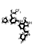 CN(Cc1nc(Nc2ccc(-c3cnc4cc(F)ccn34)c3c2C(=O)NC3)ccc1[C@@H]1CCOC1)CC(F)(F)F